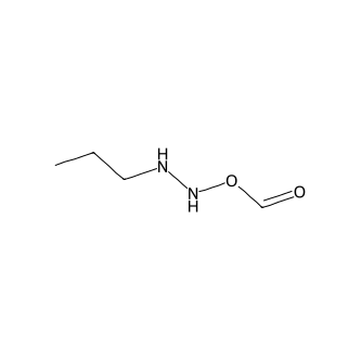 CCCNNOC=O